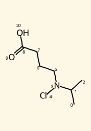 CC(C)N(Cl)CCCC(=O)O